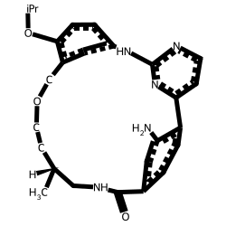 CC(C)Oc1ccc2cc1COCC[C@@H](C)CNC(=O)c1ccc(c(N)c1)-c1ccnc(n1)N2